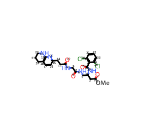 COC(=O)CC(CNC(=O)CNC(=O)CCc1ccc2c(n1)NCCC2)NC(=O)c1c(Cl)cccc1Cl